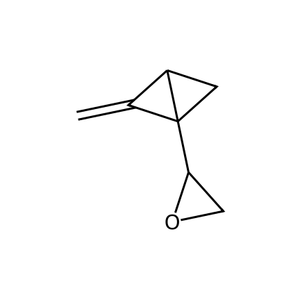 C=C1C2CC12C1CO1